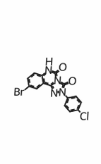 O=c1[nH]c2ccc(Br)cc2c2nn(-c3ccc(Cl)cc3)c(=O)n12